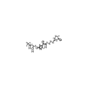 CC(C)(C)NCC(O)COc1ncc(C(=O)NCCCCC2C3CCC(=O)C23)s1